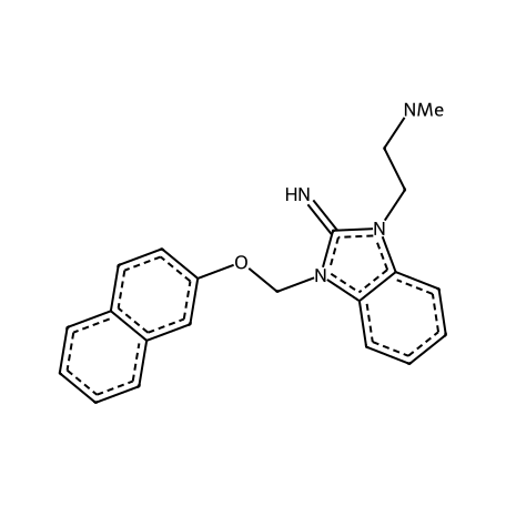 CNCCn1c(=N)n(COc2ccc3ccccc3c2)c2ccccc21